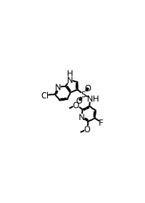 COc1nc(OC)c(NS(=O)(=O)c2c[nH]c3nc(Cl)ccc23)cc1F